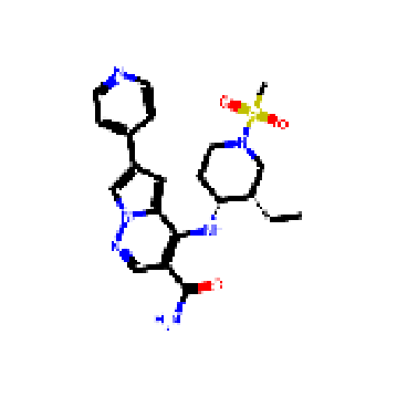 CC[C@H]1CN(S(C)(=O)=O)CC[C@H]1Nc1c(C(N)=O)cnn2cc(-c3ccncc3)cc12